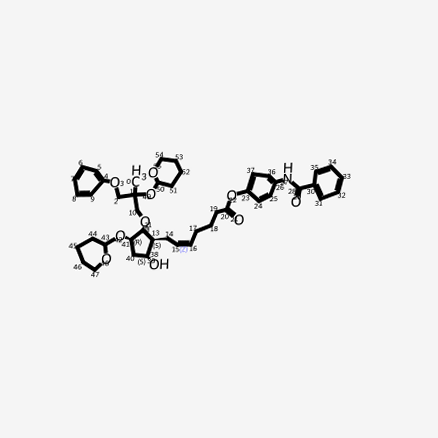 CC(COc1ccccc1)(CO[C@@H]1[C@@H](C/C=C\CCCC(=O)Oc2ccc(NC(=O)c3ccccc3)cc2)[C@@H](O)C[C@H]1OC1CCCCO1)OC1CCCCO1